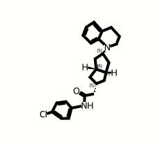 O=C(C[C@@H]1C[C@@H]2C[C@@H](N3CCCc4ccccc43)C[C@@H]2C1)Nc1ccc(Cl)cc1